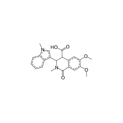 COc1cc2c(cc1OC)C(C(=O)O)C(c1cn(C)c3ccccc13)N(C)C2=O